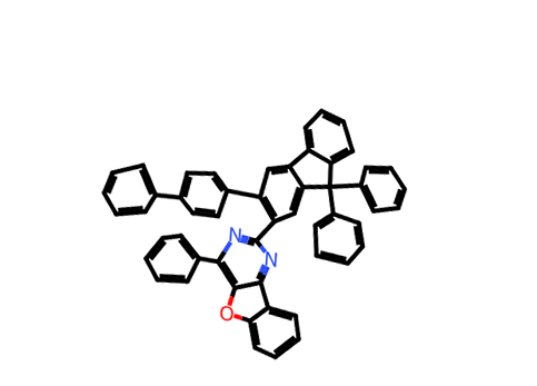 c1ccc(-c2ccc(-c3cc4c(cc3-c3nc(-c5ccccc5)c5oc6ccccc6c5n3)C(c3ccccc3)(c3ccccc3)c3ccccc3-4)cc2)cc1